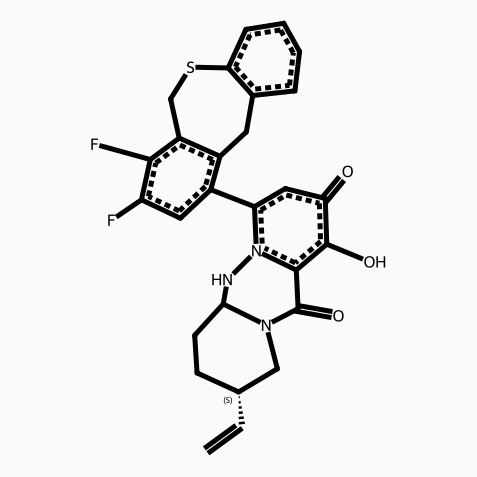 C=C[C@@H]1CCC2Nn3c(-c4cc(F)c(F)c5c4Cc4ccccc4SC5)cc(=O)c(O)c3C(=O)N2C1